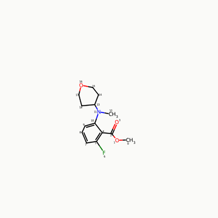 COC(=O)c1c(F)cccc1N(C)C1CCOCC1